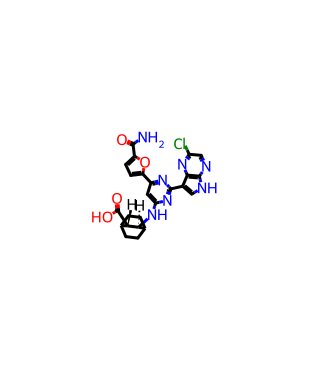 NC(=O)c1ccc(-c2cc(N[C@H]3C4CCC(CC4)[C@@H]3C(=O)O)nc(-c3c[nH]c4ncc(Cl)nc34)n2)o1